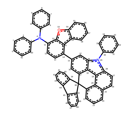 c1ccc(N(c2ccccc2)c2ccc(-c3cc4c5c6c7c(cccc7ccc6n(-c6ccccc6)c5c3)C43c4ccccc4-c4ccccc43)c3c2oc2ccccc23)cc1